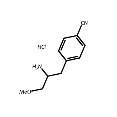 COCC(N)Cc1ccc(C#N)cc1.Cl